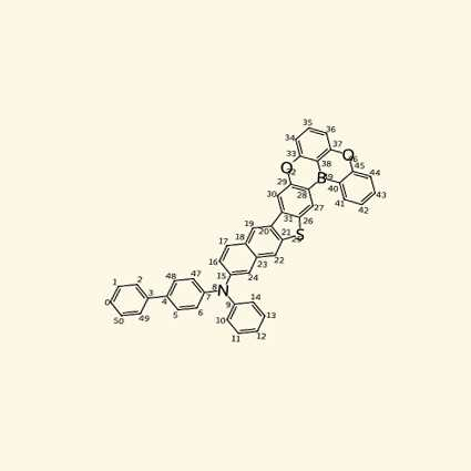 c1ccc(-c2ccc(N(c3ccccc3)c3ccc4cc5c(cc4c3)sc3cc4c(cc35)Oc3cccc5c3B4c3ccccc3O5)cc2)cc1